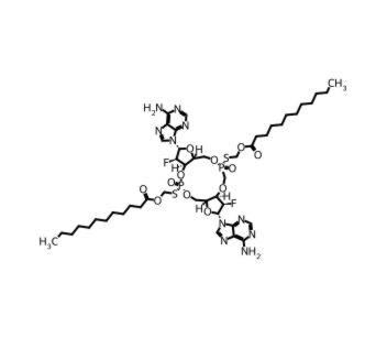 CCCCCCCCCCCC(=O)OCSP1(=O)CO[C@H]2[C@@H](F)[C@H](n3cnc4c(N)ncnc43)O[C@@H]2COP(=O)(SCOC(=O)CCCCCCCCCCC)O[C@H]2[C@@H](F)[C@H](n3cnc4c(N)ncnc43)O[C@@H]2CO1